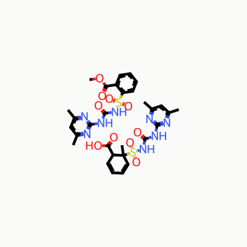 COC(=O)c1ccccc1S(=O)(=O)NC(=O)Nc1nc(C)cc(C)n1.Cc1cc(C)nc(NC(=O)NS(=O)(=O)C2(C)C=CC=CC2C(=O)O)n1